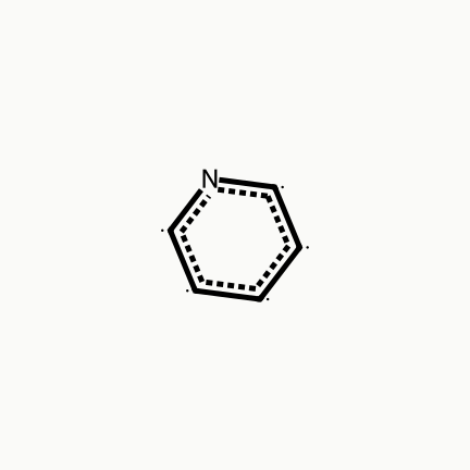 [c]1[c][c]n[c][c]1